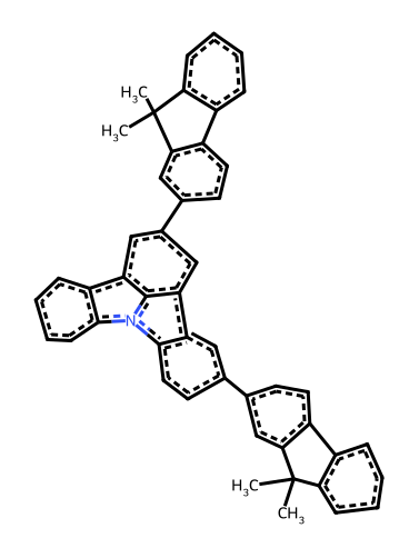 CC1(C)c2ccccc2-c2ccc(-c3ccc4c(c3)c3cc(-c5ccc6c(c5)C(C)(C)c5ccccc5-6)cc5c6ccccc6n4c53)cc21